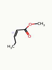 CC/C=C\C(=O)OC